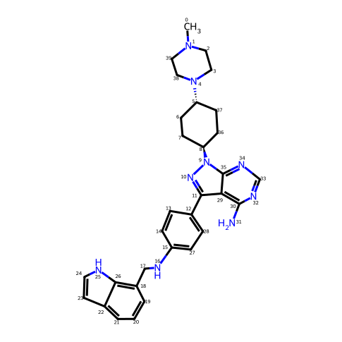 CN1CCN([C@H]2CC[C@H](n3nc(-c4ccc(NCc5cccc6cc[nH]c56)cc4)c4c(N)ncnc43)CC2)CC1